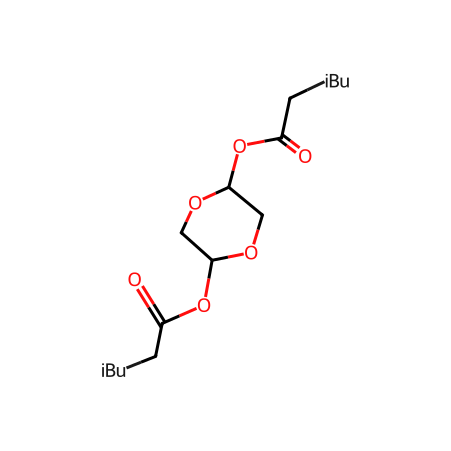 CCC(C)CC(=O)OC1COC(OC(=O)CC(C)CC)CO1